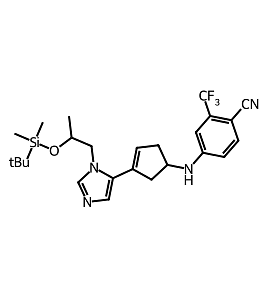 CC(Cn1cncc1C1=CCC(Nc2ccc(C#N)c(C(F)(F)F)c2)C1)O[Si](C)(C)C(C)(C)C